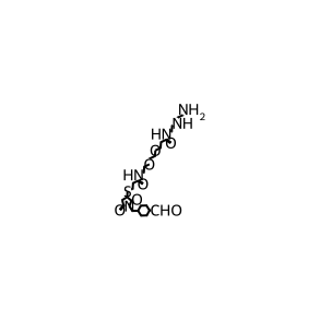 NCCNCCNC(=O)CCOCCOCCNC(=O)CCSC1CC(=O)N(CC2CCC(C=O)CC2)C1=O